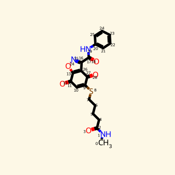 CNC(=O)CCCCSC1=CC(=O)c2onc(C(=O)Nc3ccccc3)c2C1=O